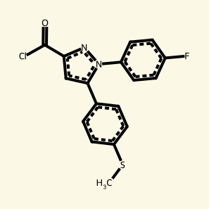 CSc1ccc(-c2cc(C(=O)Cl)nn2-c2ccc(F)cc2)cc1